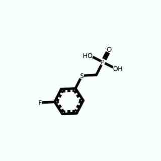 O=P(O)(O)CSc1cccc(F)c1